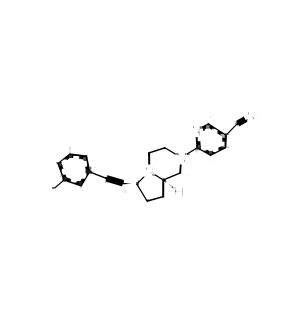 N#Cc1ccc(N2CCN3[C@@H](CC[C@H]3C#Cc3cccc(Cl)c3)C2)nc1